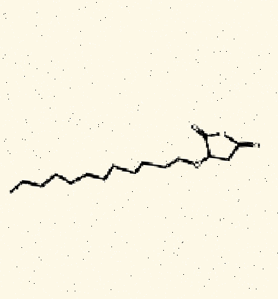 CCCCCCCCCCCCOC1CC(=O)OC1=O